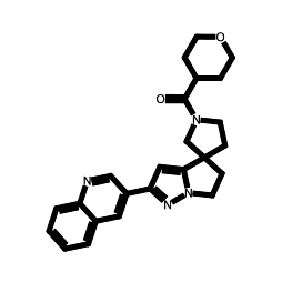 O=C(C1CCOCC1)N1CCC2(CCn3nc(-c4cnc5ccccc5c4)cc32)C1